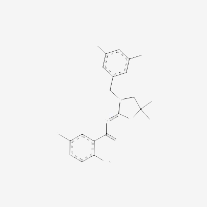 COc1ccc(Cl)cc1C(=O)/N=C1\SC(C)(C)CN1Cc1cc(F)cc(F)c1